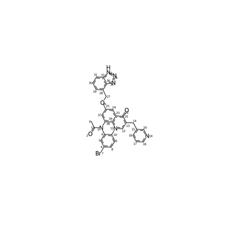 CC(=O)N1c2cc(Br)ccc2-n2cc(Cc3cccnc3)c(=O)c3cc(OCc4cccc5[nH]nnc45)cc1c32